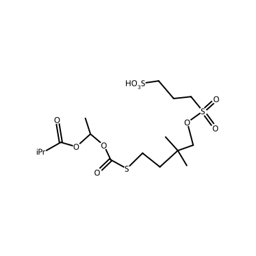 CC(OC(=O)SCCC(C)(C)COS(=O)(=O)CCCS(=O)(=O)O)OC(=O)C(C)C